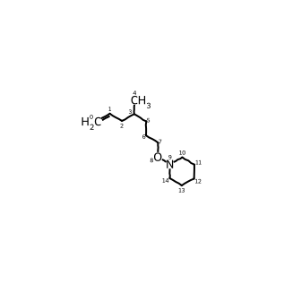 C=CCC(C)CCCON1CCCCC1